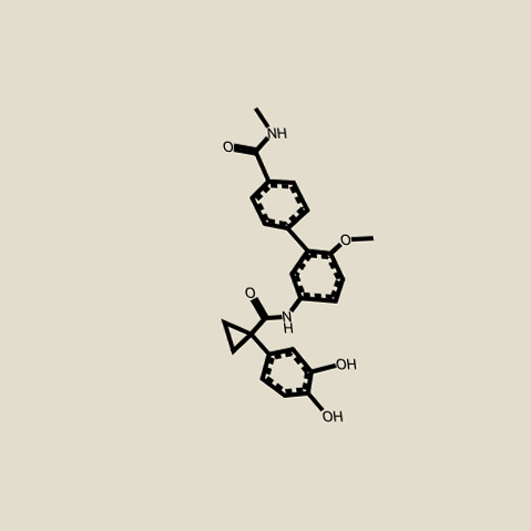 CNC(=O)c1ccc(-c2cc(NC(=O)C3(c4ccc(O)c(O)c4)CC3)ccc2OC)cc1